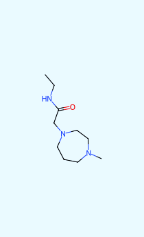 CCNC(=O)CN1CCCN(C)CC1